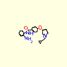 Nc1ccccc1NC(=O)C1=CCC(O[C@H]2CCN(CC3CC3)C2)C=C1